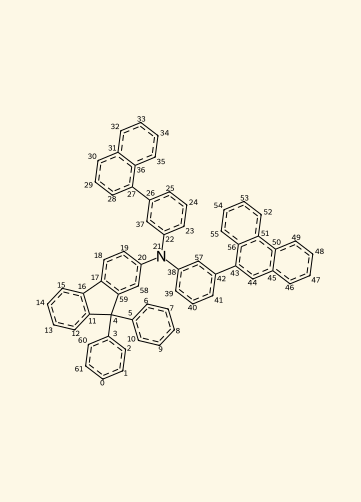 c1ccc(C2(c3ccccc3)c3ccccc3-c3ccc(N(c4cccc(-c5cccc6ccccc56)c4)c4cccc(-c5cc6ccccc6c6ccccc56)c4)cc32)cc1